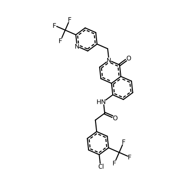 O=C(Cc1ccc(Cl)c(C(F)(F)F)c1)Nc1cccc2c(=O)n(Cc3ccc(C(F)(F)F)nc3)ccc12